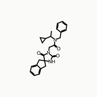 CC(C1CC1)N(Cc1ccccc1)C(=O)CN1C(=O)NC2(Cc3ccccc3C2)C1=O